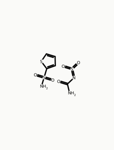 NC(=O)N=S(=O)=O.NS(=O)(=O)c1cccs1